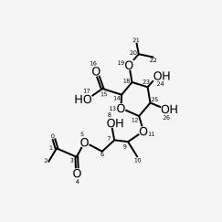 C=C(C)C(=O)OCC(O)C(C)OC1OC(C(=O)O)C(OC(C)C)C(O)C1O